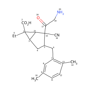 CCC1(C(=O)O)C2CC(Cc3cc(C)ccc3C)C(C#N)(C(=O)CN)C21